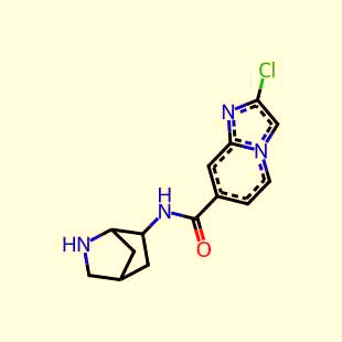 O=C(NC1CC2CNC1C2)c1ccn2cc(Cl)nc2c1